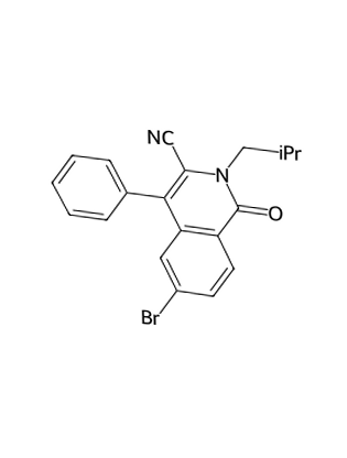 CC(C)Cn1c(C#N)c(-c2ccccc2)c2cc(Br)ccc2c1=O